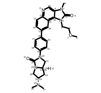 COCCn1c(=O)n(C)c2cnc3ccc(-c4ccc(N5C[C@H]6C[C@H](N(C)C)CN6C5=O)cc4)cc3c21